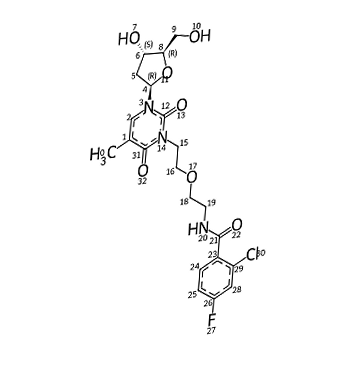 Cc1cn([C@H]2C[C@H](O)[C@@H](CO)O2)c(=O)n(CCOCCNC(=O)c2ccc(F)cc2Cl)c1=O